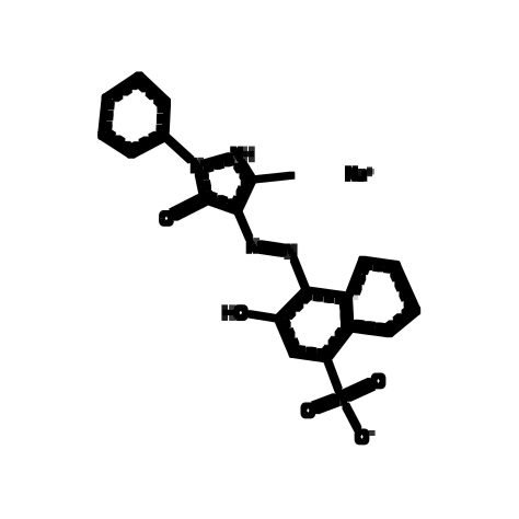 Cc1[nH]n(-c2ccccc2)c(=O)c1N=Nc1c(O)cc(S(=O)(=O)[O-])c2ccccc12.[Na+]